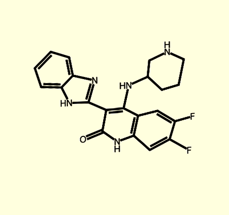 O=c1[nH]c2cc(F)c(F)cc2c(NC2CCCNC2)c1-c1nc2ccccc2[nH]1